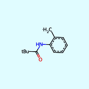 [CH2]c1ccccc1NC(=O)C(C)(C)C